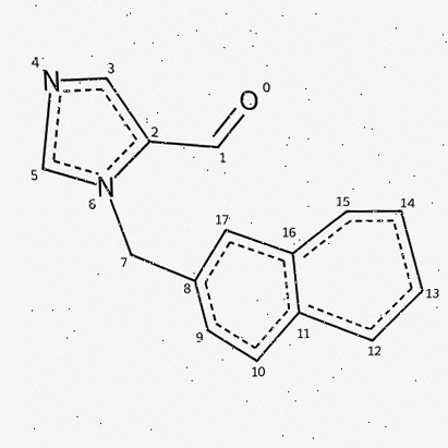 O=Cc1cncn1Cc1ccc2ccccc2c1